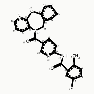 Cc1ccc(F)cc1C(=O)Nc1ccc(C(=O)N2Cc3ccccc3Oc3ncccc32)cn1